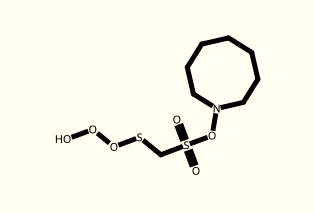 O=S(=O)(CSOOO)ON1CCCCCCC1